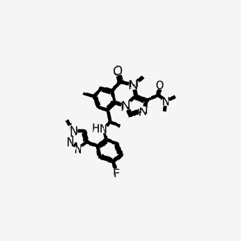 Cc1cc(C(C)Nc2ccc(F)cc2-c2cn(C)nn2)c2c(c1)c(=O)n(C)c1c(C(=O)N(C)C)ncn21